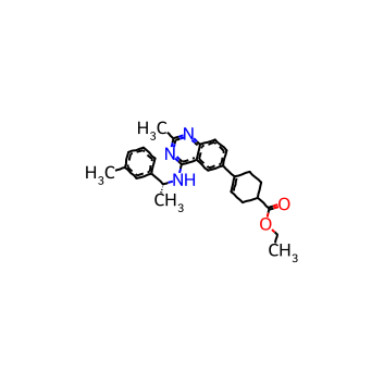 CCOC(=O)C1CC=C(c2ccc3nc(C)nc(N[C@H](C)c4cccc(C)c4)c3c2)CC1